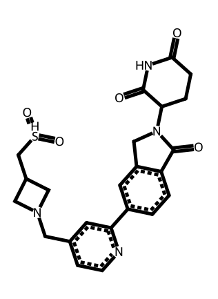 O=C1CCC(N2Cc3cc(-c4cc(CN5CC(C[SH](=O)=O)C5)ccn4)ccc3C2=O)C(=O)N1